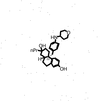 CCCC1(O)CC[C@@]2(Cc3ccc(NC4CCOCC4)cc3)c3ccc(O)cc3CC[C@@H]2C1